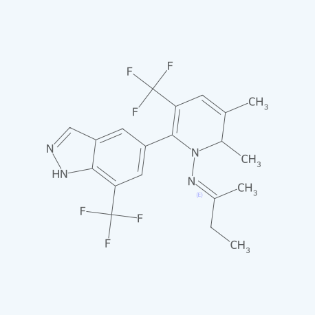 CC/C(C)=N/N1C(c2cc(C(F)(F)F)c3[nH]ncc3c2)=C(C(F)(F)F)C=C(C)C1C